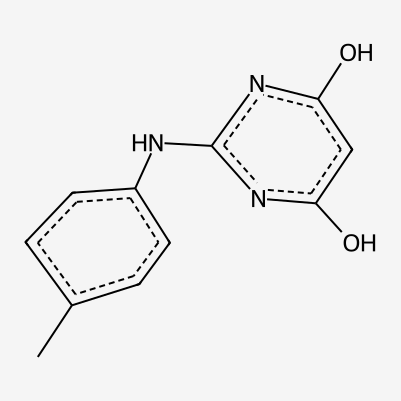 Cc1ccc(Nc2nc(O)cc(O)n2)cc1